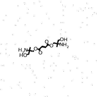 CC(N)(CO)COC(=O)/C=C/C(=O)OCC(C)(N)CO